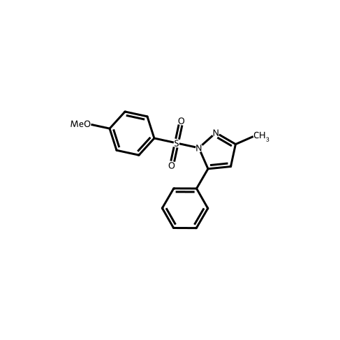 COc1ccc(S(=O)(=O)n2nc(C)cc2-c2ccccc2)cc1